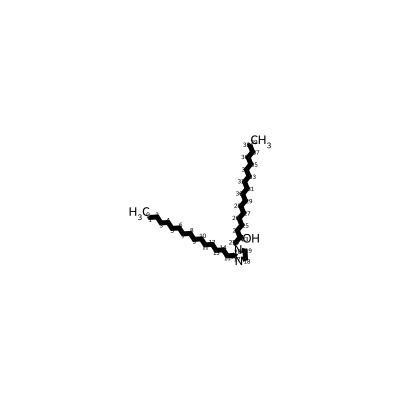 CCCCCCCCCCCCCCCCC1=NCCN1CC(O)CCCCCCCCCCCCCCCC